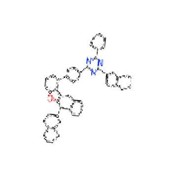 c1ccc(-c2nc(-c3ccc(-c4cccc5oc6c(-c7ccc8ccccc8c7)c7ccccc7cc6c45)cc3)nc(-c3ccc4ccccc4c3)n2)cc1